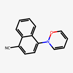 N#Cc1ccc(N2C=CC=CO2)c2ccccc12